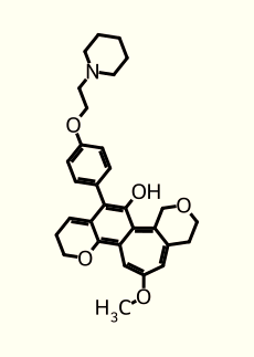 COC1=Cc2c3c(c(-c4ccc(OCCN5CCCCC5)cc4)c(O)c2=C2COCCC2=C1)=CCCO3